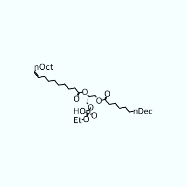 [CH2]COP(=O)(O)OC[C@@H](COC(=O)CCCCCCCCCCCCCCC)OC(=O)CCCCCCC/C=C\CCCCCCCC